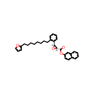 O=C(Oc1ccc2ccccc2c1)[C@@H]1O[C@H]1c1ccccc1CCCCCCCCc1ccco1